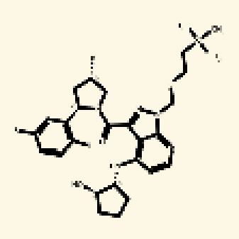 C[Si](C)(C)CCOCn1nc(C(=O)N2C[C@@H](F)C[C@@H]2c2cc(F)ccc2F)c2c(N[C@@H]3CCC[C@H]3O)ccnc21